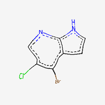 Clc1cnc2[nH]ccc2c1Br